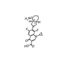 N[C@H]1CCC[C@@H]2CN(c3c(F)cc4c(=O)c(C(=O)O)cn(C5CC5)c4c3F)C[C@@H]21